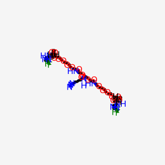 CC1(C)O[C@@H]2[C@H](O1)[C@@H](Nc1cncc(C(F)(F)F)n1)CO[C@@H]2COCCOCCOCCOCCNC(=O)CCOCC(COCCC(=O)NCCOCCOCCOCCOC[C@H]1OC[C@H](Nc2cncc(C(F)(F)F)n2)[C@H]2OC(C)(C)O[C@H]21)NC(=O)CCCCCN=[N+]=[N-]